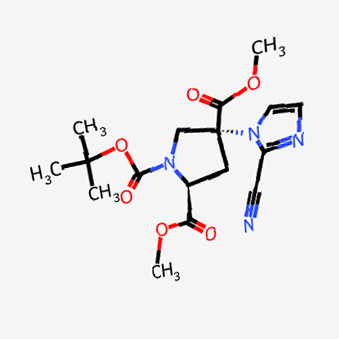 COC(=O)[C@@H]1C[C@@](C(=O)OC)(n2ccnc2C#N)CN1C(=O)OC(C)(C)C